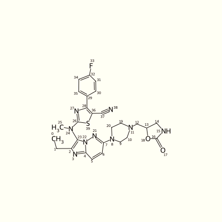 CCc1nc2ccc(N3CCN(CC4CNC(=O)O4)CC3)nn2c1N(C)c1nc(-c2ccc(F)cc2)c(C#N)s1